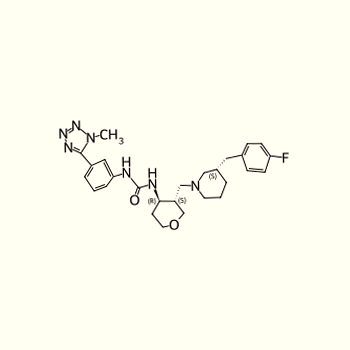 Cn1nnnc1-c1cccc(NC(=O)N[C@@H]2CCOC[C@H]2CN2CCC[C@@H](Cc3ccc(F)cc3)C2)c1